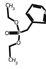 CCOP(=O)(Cc1cc[c]nc1)OCC